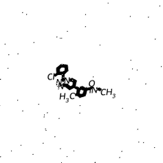 CCNC(=O)c1ccc(C)c(-c2ccn3c(-c4ccccc4Cl)nnc3c2)c1